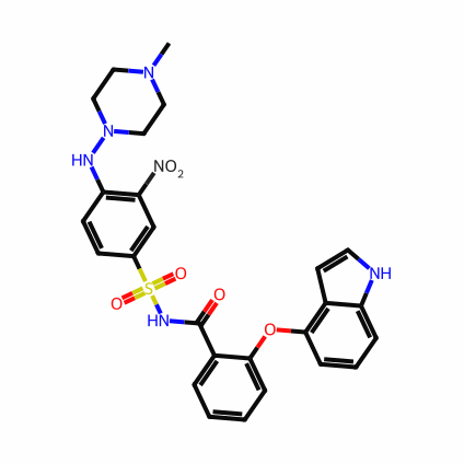 CN1CCN(Nc2ccc(S(=O)(=O)NC(=O)c3ccccc3Oc3cccc4[nH]ccc34)cc2[N+](=O)[O-])CC1